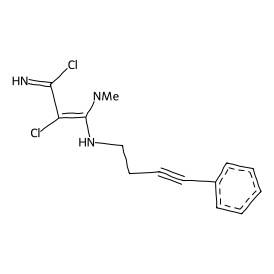 CN/C(NCCC#Cc1ccccc1)=C(/Cl)C(=N)Cl